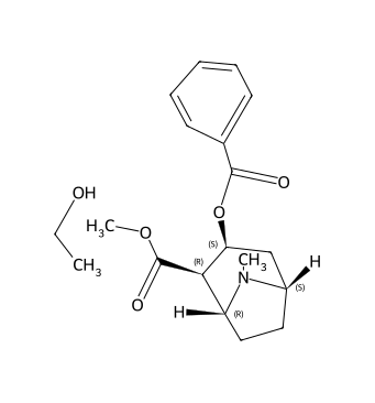 CCO.COC(=O)[C@H]1[C@@H](OC(=O)c2ccccc2)C[C@@H]2CC[C@H]1N2C